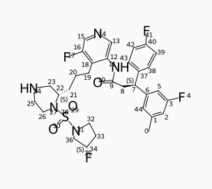 Cc1cc(F)cc([C@@H](CC(=O)Nc2cncc(F)c2CCC[C@H]2CNCCN2S(=O)(=O)N2CC[C@H](F)C2)c2ccc(F)cc2)c1